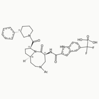 CC(=O)N1CC[C@H]2CC[C@@H](C(=O)N3CCC[C@@H](c4ccccc4)C3)N2C(=O)[C@@H](NC(=O)c2cc3cc(C(F)(F)P(=O)(O)O)ccc3[nH]2)C1